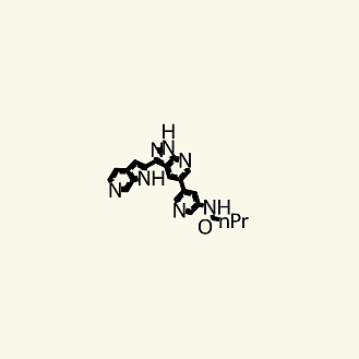 CCCC(=O)Nc1cncc(-c2cnc3[nH]nc(-c4cc5ccncc5[nH]4)c3c2)c1